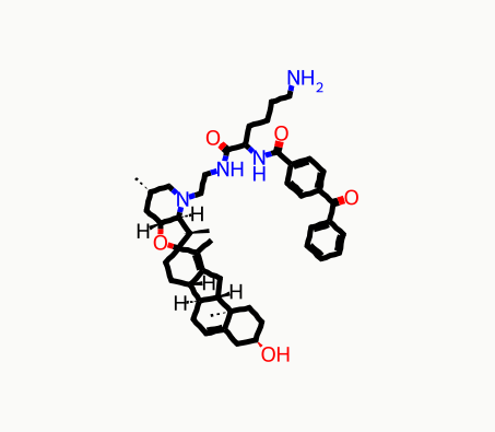 CC1=C2C[C@H]3[C@@H](CC=C4C[C@@H](O)CC[C@@]43C)[C@@H]2CCC12O[C@@H]1C[C@H](C)CN(CCNC(=O)C(CCCCN)NC(=O)c3ccc(C(=O)c4ccccc4)cc3)[C@H]1[C@H]2C